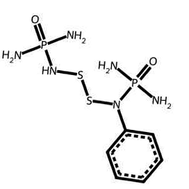 NP(N)(=O)NSSN(c1ccccc1)P(N)(N)=O